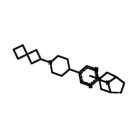 CN1CC2CCC(C1)N2c1ncc(C2CCN(C3CC4(CCC4)C3)CC2)cn1